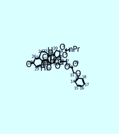 CCCC(=O)O[C@@]1(C(=O)COC(=O)COc2ccccc2)CC[C@H]2[C@@H]3CCC4=CC(=O)C=C[C@]4(C)[C@H]3[C@@H](O)C[C@@]21C